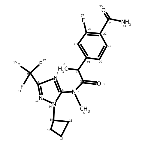 CC(C(=O)N(C)c1nc(C(F)(F)F)nn1C1CCC1)c1ccc(C(N)=O)c(F)c1